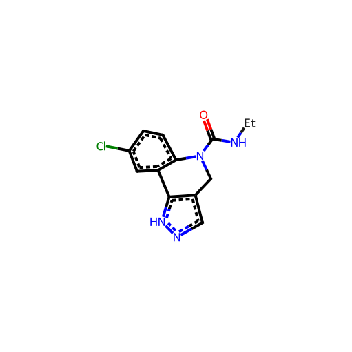 CCNC(=O)N1Cc2cn[nH]c2-c2cc(Cl)ccc21